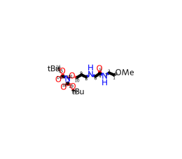 COCCNC(=O)CNCCCON(C(=O)OC(C)(C)C)C(=O)OC(C)(C)C